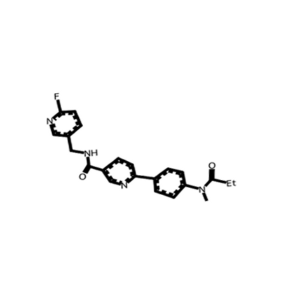 CCC(=O)N(C)c1ccc(-c2ccc(C(=O)NCc3ccc(F)nc3)cn2)cc1